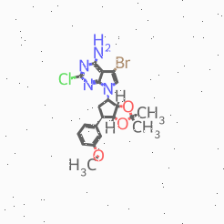 COc1cccc([C@H]2C[C@@H](n3cc(Br)c4c(N)nc(Cl)nc43)[C@@H]3OC(C)(C)O[C@@H]32)c1